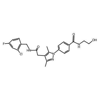 Cc1nn(-c2ccc(C(=O)NCCO)cc2)c(C)c1CC(=O)NCc1ccc(F)cc1Cl